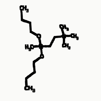 CCCCO[Si](C)(CC[Si](C)(C)C)OCCCC